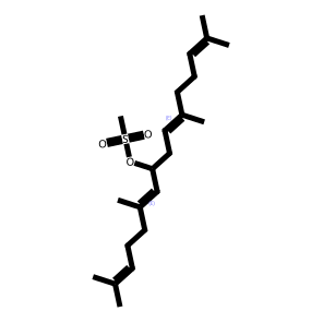 CC(C)=CCC/C(C)=C/CC(/C=C(\C)CCC=C(C)C)OS(C)(=O)=O